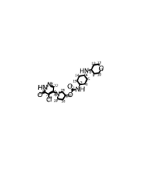 O=C(N[C@H]1CC[C@@H](NC2CCOCC2)CC1)O[C@@H]1CCN(c2cn[nH]c(=O)c2Cl)C1